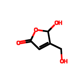 O=C1C=C(CO)C(O)O1